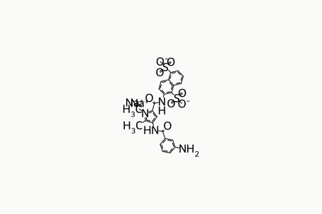 Cc1c(NC(=O)c2cccc(N)c2)cc(C(=O)Nc2ccc3c(S(=O)(=O)[O-])cccc3c2S(=O)(=O)[O-])n1C.[Na+].[Na+]